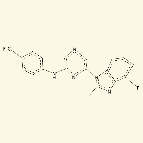 Cc1nc2c(F)cccc2n1-c1cncc(Nc2ccc(C(F)(F)F)cc2)n1